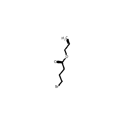 C=CCOC(=O)CCCBr